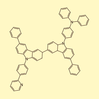 C1=CC2C(C=C1C1C=c3c(n(-c4ccc(-c5ccccn5)cc4)c4ccc(-c5ccccc5)cc34)=CC1)c1cc(-c3ccccc3)ccc1N2c1ccc(N(c2ccccc2)c2ccccc2)cc1